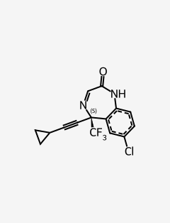 O=C1C=N[C@](C#CC2CC2)(C(F)(F)F)c2cc(Cl)ccc2N1